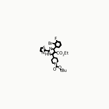 CCOC(=O)C1=C(C2CCN(C(=O)OC(C)(C)C)CC2)NC(c2nccs2)=NC1c1cccc(F)c1Br